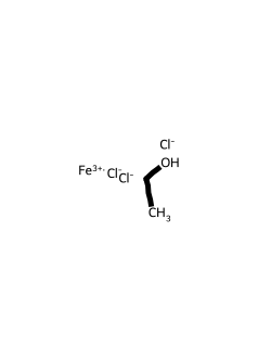 CCO.[Cl-].[Cl-].[Cl-].[Fe+3]